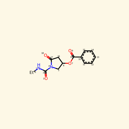 CCNC(=O)N1CC(OC(=O)c2ccccc2)CC1=O